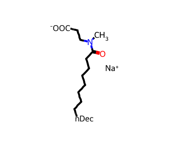 CCCCCCCCCCCCCCCCCC(=O)N(C)CCC(=O)[O-].[Na+]